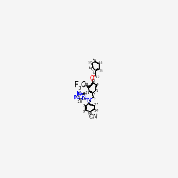 N#Cc1ccc(N(Cc2ccc(OCc3ccccc3)c(C(F)(F)F)c2)n2cnnc2)cc1